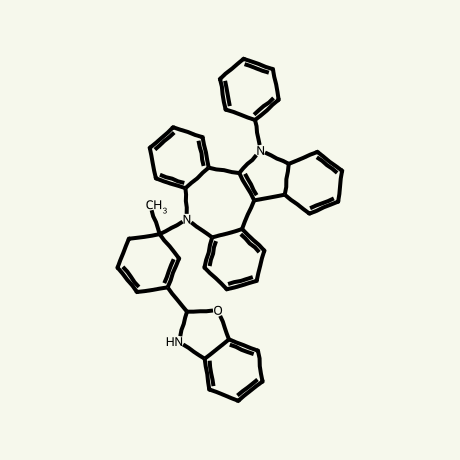 CC1(N2c3ccccc3C3=C(c4ccccc42)N(c2ccccc2)C2C=CC=CC32)C=C(C2Nc3ccccc3O2)C=CC1